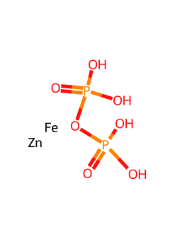 O=P(O)(O)OP(=O)(O)O.[Fe].[Zn]